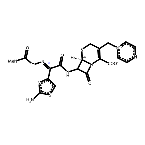 CNC(=O)O/N=C(/C(=O)NC1C(=O)N2C(C(=O)[O-])=C(C[n+]3ccncc3)CS[C@H]12)c1csc(N)n1